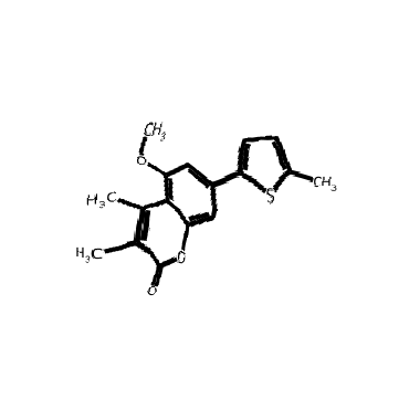 COc1cc(-c2ccc(C)s2)cc2oc(=O)c(C)c(C)c12